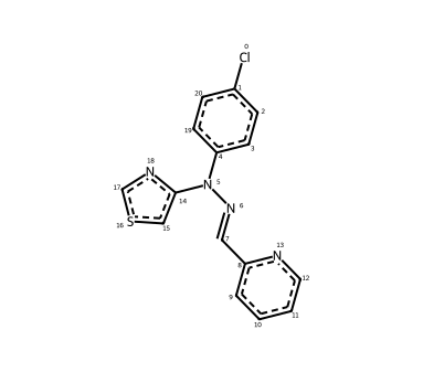 Clc1ccc(N(/N=C/c2ccccn2)c2cscn2)cc1